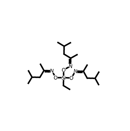 CC[Si](ON=C(C)CC(C)C)(ON=C(C)CC(C)C)ON=C(C)CC(C)C